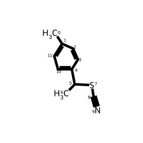 Cc1ccc(C(C)SC#N)cc1